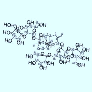 C=C1CC2CCC3[C@](C)(C(=O)OC4OC(CO)C(O)C(O)C4OC4OC(CO)C(O)C(O)C4O)CCC[C@@]3(C)[C@@H]2CC1OC1OC(COC2OC(CO)C(O)C(O)C2O)C(O)C(O)C1OC1OC(CO)C(O)C(O)C1O